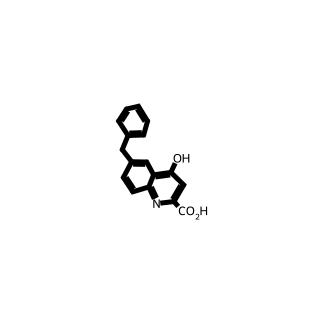 O=C(O)c1cc(O)c2cc(Cc3ccccc3)ccc2n1